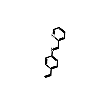 C=Cc1ccc(/N=C/c2ccccn2)cc1